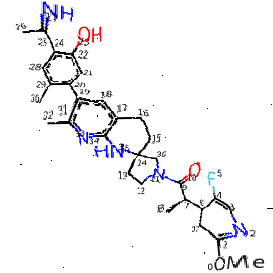 COC1=NC=C(F)C([C@@H](C)C(=O)N2CC[C@@]3(CCc4cc(-c5cc(O)c(C(C)=N)cc5C)c(C)nc4N3)C2)C1